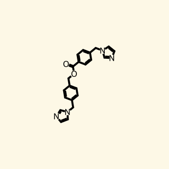 O=C(OCc1ccc(Cn2ccnc2)cc1)c1ccc(Cn2ccnc2)cc1